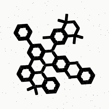 Cc1cc2c(cc1N1c3cc4c(cc3B3c5c(cc(-c6ccccc6)cc51)-c1cccc5c1N3c1ccccc1[Si]5(C)C)Oc1ccccc1O4)C(C)(C)CCC2(C)C